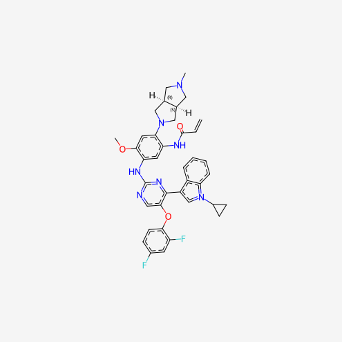 C=CC(=O)Nc1cc(Nc2ncc(Oc3ccc(F)cc3F)c(-c3cn(C4CC4)c4ccccc34)n2)c(OC)cc1N1C[C@H]2CN(C)C[C@H]2C1